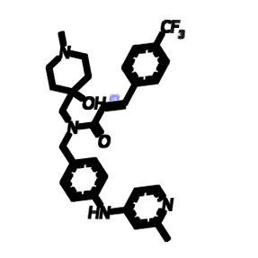 Cc1cc(Nc2ccc(CN(CC3(O)CCN(C)CC3)C(=O)/C=C/c3ccc(C(F)(F)F)cc3)cc2)ccn1